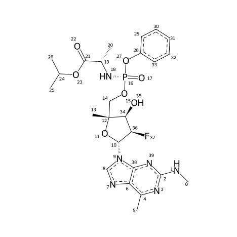 CNc1nc(C)c2ncn([C@@H]3O[C@](C)(CO[P@@](=O)(N[C@@H](C)C(=O)OC(C)C)Oc4ccccc4)[C@@H](O)[C@H]3F)c2n1